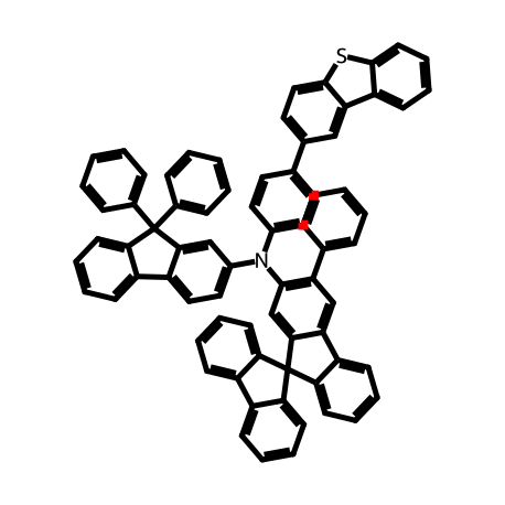 c1ccc(-c2cc3c(cc2N(c2ccc(-c4ccc5sc6ccccc6c5c4)cc2)c2ccc4c(c2)C(c2ccccc2)(c2ccccc2)c2ccccc2-4)C2(c4ccccc4-c4ccccc42)c2ccccc2-3)cc1